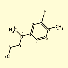 Cc1ccc(N(C)CCCl)cc1I